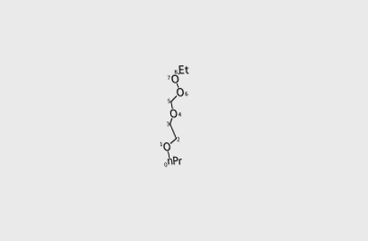 CCCOCCOCOOCC